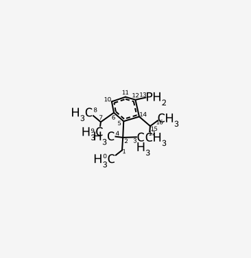 CCC(C)(C)c1c(C(C)C)ccc(P)c1C(C)C